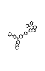 CC1(C)c2ccccc2-c2ccc(N(c3ccc(-c4ccccc4)cc3)c3ccc(-c4ccc(-c5cc6c7c(ccc8cccc(c87)C6(c6ccccc6)c6ccccc6)c5)cc4)cc3)cc21